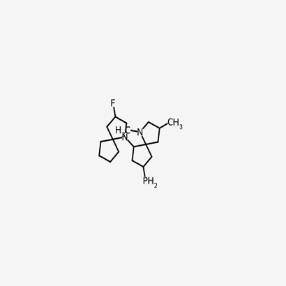 CC1CN(C)C2(C1)CC(P)CC2N1CC(F)CC12CCCC2